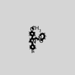 COc1ccc(-c2ccc(-c3ccc(F)cc3)nc2CCN2CCCCCC2=O)cc1